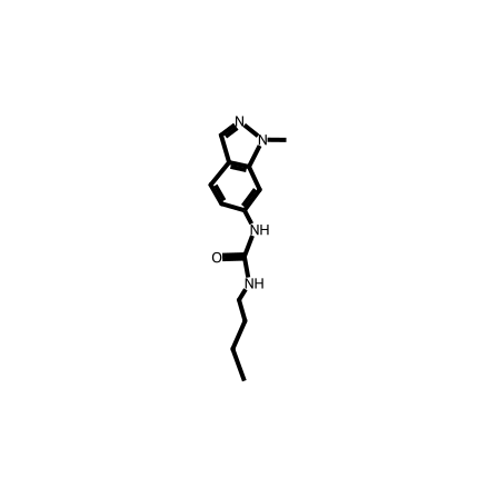 CCCCNC(=O)Nc1ccc2cnn(C)c2c1